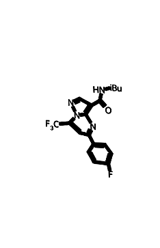 CCC(C)NC(=O)c1cnn2c(C(F)(F)F)cc(-c3ccc(F)cc3)nc12